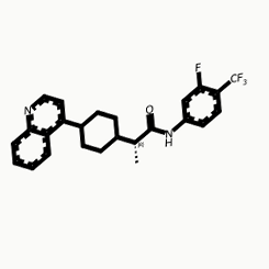 C[C@@H](C(=O)Nc1ccc(C(F)(F)F)c(F)c1)C1CCC(c2ccnc3ccccc23)CC1